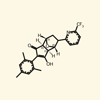 Cc1cc(C)c(C2=C(O)[C@H]3[C@@H](C2=O)[C@@H]2CC(c4cccc(C(F)(F)F)n4)[C@H]3O2)c(C)c1